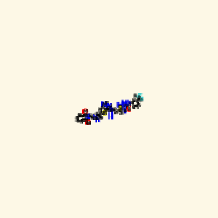 O=C(Nc1cccc(C(F)(F)F)c1)Nc1ncc(CCNc2ncnc3cc(-c4cnn(CCN5C(=O)c6ccccc6C5=O)c4)sc23)s1